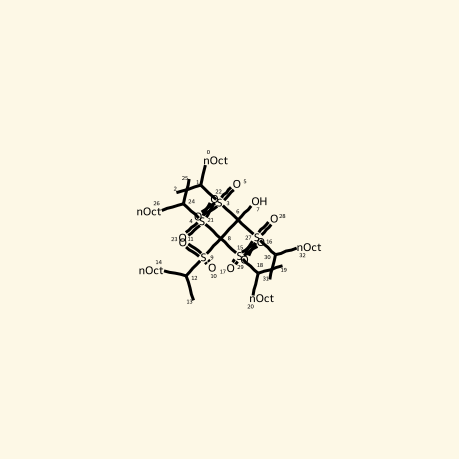 CCCCCCCCC(C)S(=O)(=O)C(O)(C(S(=O)(=O)C(C)CCCCCCCC)(S(=O)(=O)C(C)CCCCCCCC)S(=O)(=O)C(C)CCCCCCCC)S(=O)(=O)C(C)CCCCCCCC